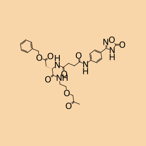 CC(=O)COCCNC(=O)[C@H](CC(=O)OCc1ccccc1)NC(=O)CCC(=O)Nc1ccc(-c2noc(=O)[nH]2)cc1